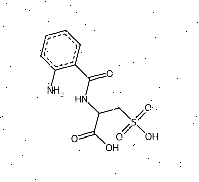 Nc1ccccc1C(=O)NC(CS(=O)(=O)O)C(=O)O